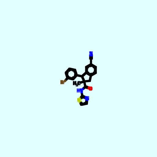 CC1(C(=O)Nc2nccs2)Cc2ccc(C#N)cc2C1c1cccc(Br)c1